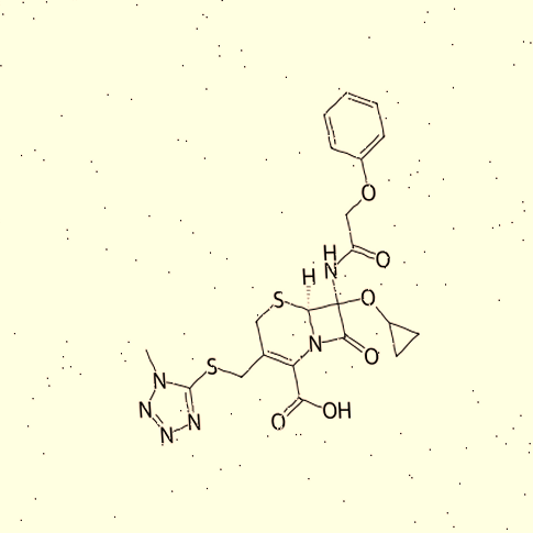 Cn1nnnc1SCC1=C(C(=O)O)N2C(=O)C(NC(=O)COc3ccccc3)(OC3CC3)[C@@H]2SC1